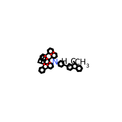 CC1(C)c2ccccc2-c2ccc(-c3ccc(N(c4ccc5c(c4)C4(c6ccccc6-5)C5CC6CC7CC4C75C6)c4ccccc4-c4cccc5cccc(-c6ccccc6)c45)cc3)cc21